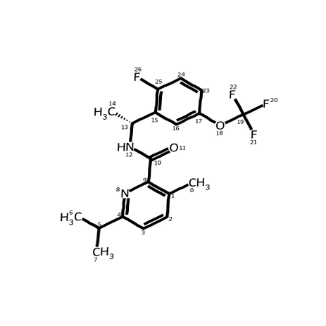 Cc1ccc(C(C)C)nc1C(=O)N[C@H](C)c1cc(OC(F)(F)F)ccc1F